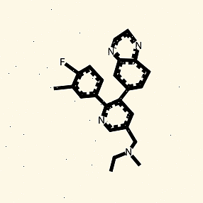 CCN(C)Cc1cnc(-c2ccc(F)c(C)c2)c(-c2ccc3nccnc3c2)c1